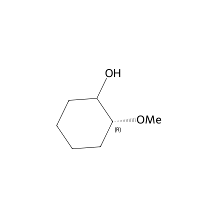 CO[C@@H]1CCCCC1O